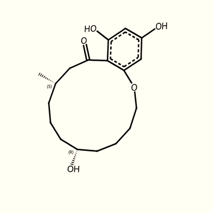 C[C@H]1CCC[C@@H](O)CCCCOc2cc(O)cc(O)c2C(=O)C1